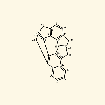 c1ccc2c3c4c5c6c(ccc7c6c6c4c(c2c1)CS=6C7)CS=5C3